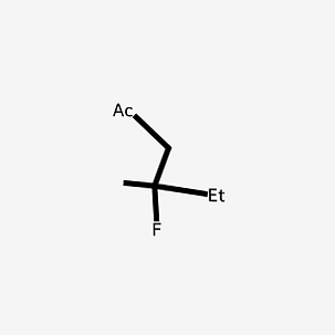 CCC(C)(F)CC(C)=O